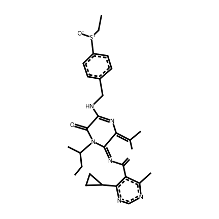 C=C(/N=C1\C(=C(C)C)N=C(NCc2ccc([S+]([O-])CC)cc2)C(=O)N1C(C)CC)c1c(C)ncnc1C1CC1